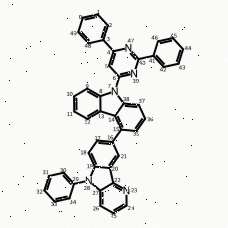 c1ccc(-c2cc(-n3c4ccccc4c4c(-c5ccc6c(c5)c5ncccc5n6-c5ccccc5)cccc43)nc(-c3ccccc3)n2)cc1